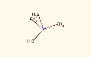 CCCCCCCCCCCCCCCCCCCCCC[N+](CCCCCCCCCCCCCCCCCCCCCC)(CCCCCCCCCCCCCCCCCCCCCC)CCCCCCCCCCCCCCCCCCCCCC